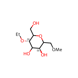 CCO[C@@H]1C(CO)OC(COC)[C@@H](O)C1O